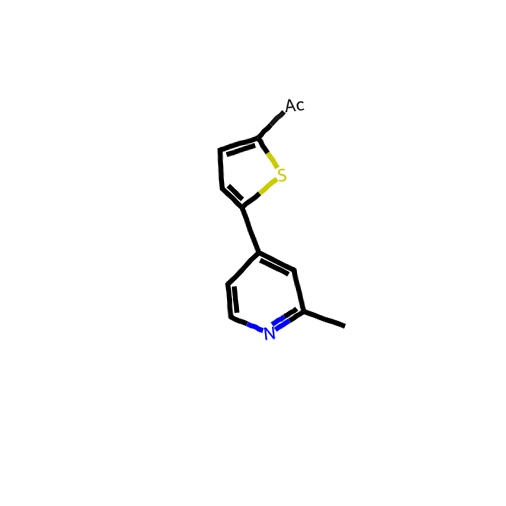 CC(=O)c1ccc(-c2ccnc(C)c2)s1